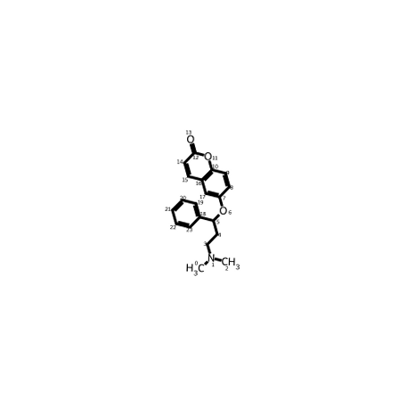 CN(C)CCC(Oc1ccc2oc(=O)ccc2c1)c1ccccc1